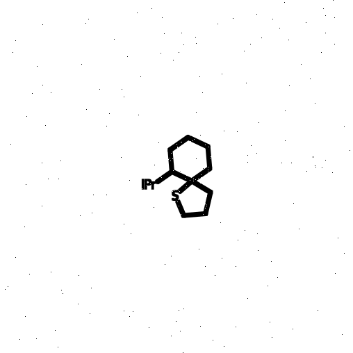 CC(C)C1CCCCC12CCCS2